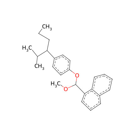 CCCC(c1ccc(OC(OC)c2cccc3ccccc23)cc1)C(C)C